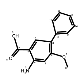 COc1cc(N)c(C(=O)O)cc1-c1ccccc1